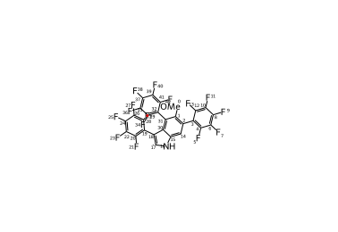 COc1c(-c2c(F)c(F)c(F)c(F)c2F)cc2[nH][c]c(-c3c(F)c(F)c(F)c(F)c3F)c2c1-c1c(F)c(F)c(F)c(F)c1F